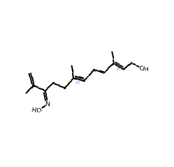 C=C(C)C(CC/C(C)=C/CC/C(C)=C/CO)=NO